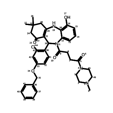 CN1CCN(C(=O)CCC(=O)N2c3cccc(O)c3NC3=C(C(=O)CC(C)(C)C3)C2c2ccc(OCc3ccccc3)cc2Cl)CC1